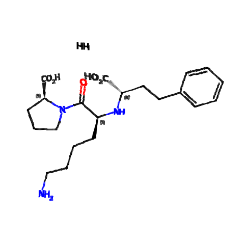 NCCCC[C@H](N[C@@H](CCc1ccccc1)C(=O)O)C(=O)N1CCC[C@H]1C(=O)O.[HH]